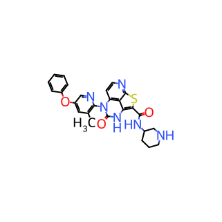 Cc1cc(Oc2ccccc2)cnc1N1C(=O)Nc2c(C(=O)N[C@@H]3CCCNC3)sc3nccc1c23